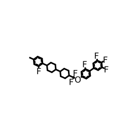 Cc1ccc(C2CCC(C3CCC(C(F)(F)Oc4ccc(-c5cc(F)c(F)c(F)c5)c(F)c4)CC3)CC2)c(F)c1